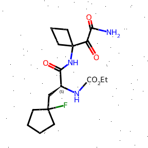 CCOC(=O)N[C@@H](CC1(F)CCCC1)C(=O)NC1(C(=O)C(N)=O)CCC1